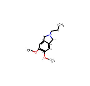 CCCN1Cc2cc(OC)c(OC)cc2C1